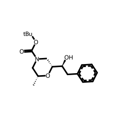 C[C@@H]1CN(C(=O)OC(C)(C)C)C[C@H]([C@@H](O)Cc2ccccc2)O1